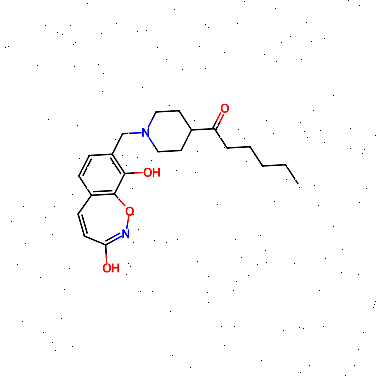 CCCCCC(=O)C1CCN(Cc2ccc3c(c2O)ON=C(O)C=C3)CC1